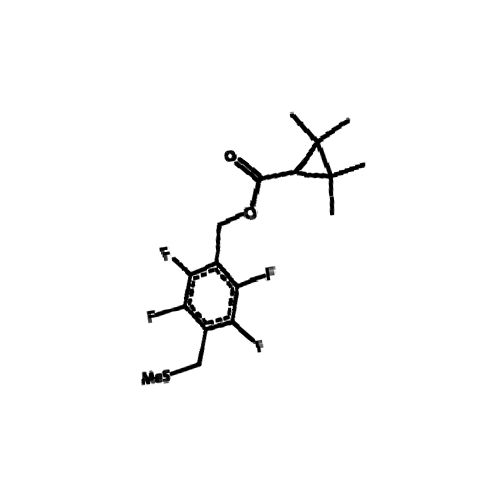 CSCc1c(F)c(F)c(COC(=O)C2C(C)(C)C2(C)C)c(F)c1F